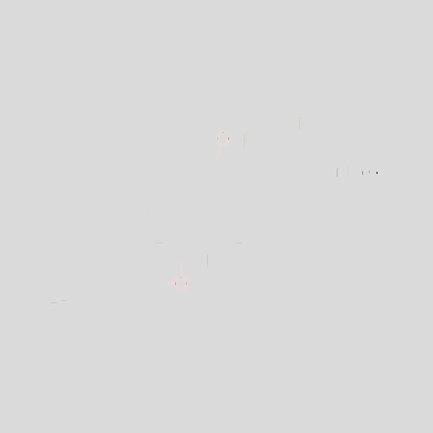 CCCCCCc1ccc(-c2c([O])cc(F)c(C(F)(F)Oc3ccc(CC)cc3)c2F)c(F)c1F